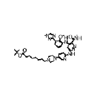 CNC(=O)c1nnc(Nc2ccc(N3CCN(CCCCCCCC(=O)OC(C)(C)C)CC3)cn2)cc1Nc1cccc(-c2ncn(C)n2)c1OC